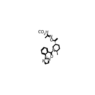 C=C(O/N=C(\C)C(=O)O)[C@@H]1CC[C@@H](C)N(C(=O)c2ccccc2-n2nccn2)C1